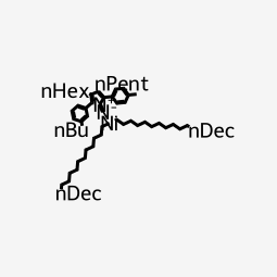 CCCCCCC1=C(c2cccc(CCCC)c2)[N+](=[N-])C(c2ccc(C)cc2)=C1CCCCC.CCCCCCCCCCCCCCCCCCCC[CH2][Ni][CH2]CCCCCCCCCCCCCCCCCCCC